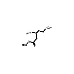 CCCCCCCCCCCCC(CCCCCCCCCC)CC(=O)OC(C)(C)C